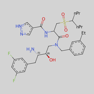 CCCC(CCC)S(=O)(=O)CC(NC(=O)c1cn[nH]c1)C(=O)N(Cc1cccc(CC)c1)C[C@@H](O)[C@@H](N)Cc1cc(F)cc(F)c1